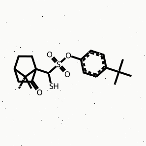 CC(C)(C)c1ccc(OS(=O)(=O)C(S)C23CCC(CC2=O)C3(C)C)cc1